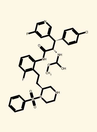 COC(O)N[C@H](C(=O)Nc1cccc(F)c1CC[C@H]1CNCCN1S(=O)(=O)c1ccccc1)[C@@H](c1ccc(Cl)cc1)c1cncc(F)c1